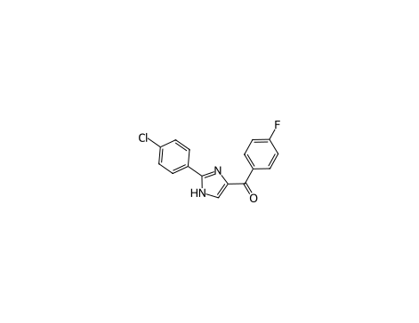 O=C(c1ccc(F)cc1)c1c[nH]c(-c2ccc(Cl)cc2)n1